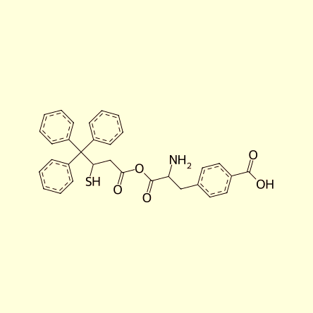 NC(Cc1ccc(C(=O)O)cc1)C(=O)OC(=O)CC(S)C(c1ccccc1)(c1ccccc1)c1ccccc1